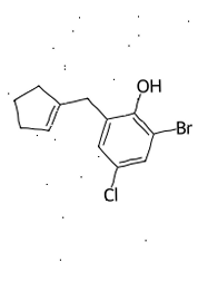 Oc1c(Br)cc(Cl)cc1CC1=CCCC1